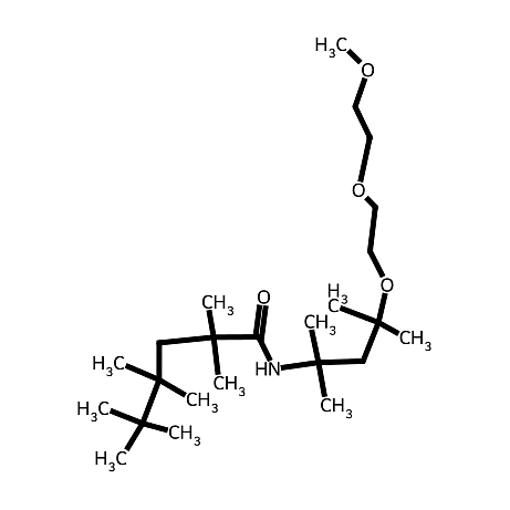 COCCOCCOC(C)(C)CC(C)(C)NC(=O)C(C)(C)CC(C)(C)C(C)(C)C